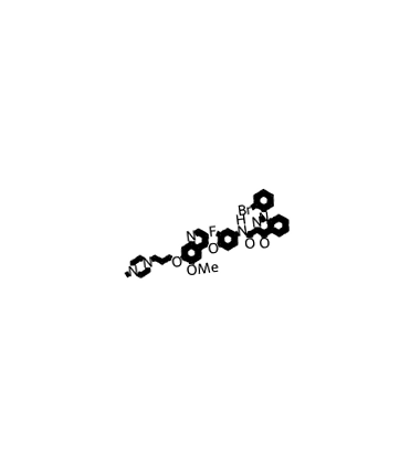 COc1cc2c(Oc3ccc(NC(=O)c4nn(-c5ccccc5Br)c5ccccc5c4=O)cc3F)ccnc2cc1OCCCN1CCN(C)CC1